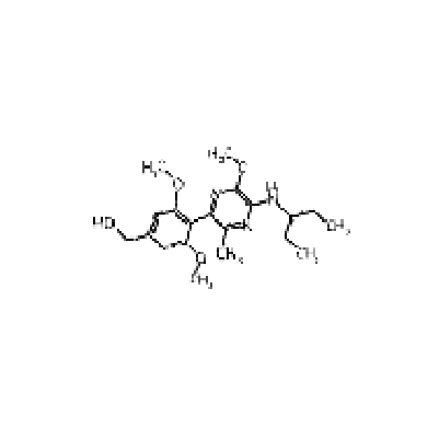 CCC(CC)Nc1nc(C)c(-c2c(OC)cc(CO)cc2OC)nc1OC